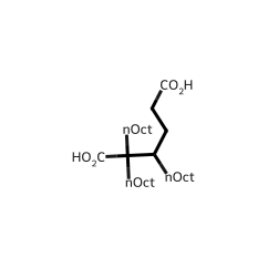 CCCCCCCCC(CCC(=O)O)C(CCCCCCCC)(CCCCCCCC)C(=O)O